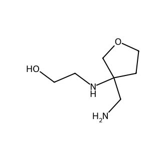 NCC1(NCCO)CCOC1